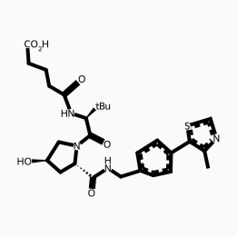 Cc1ncsc1-c1ccc(CNC(=O)[C@@H]2C[C@@H](O)CN2C(=O)[C@@H](NC(=O)CCCC(=O)O)C(C)(C)C)cc1